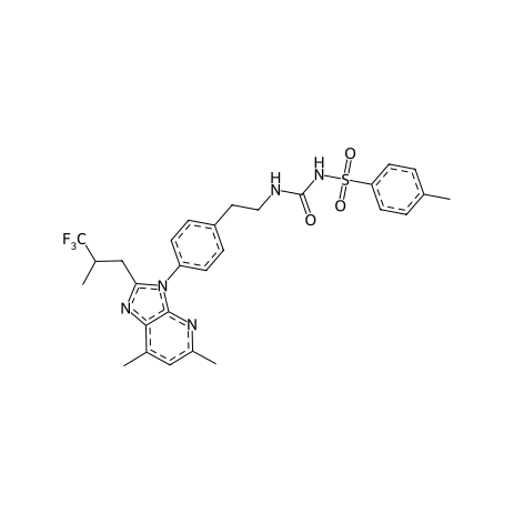 Cc1ccc(S(=O)(=O)NC(=O)NCCc2ccc(-n3c(CC(C)C(F)(F)F)nc4c(C)cc(C)nc43)cc2)cc1